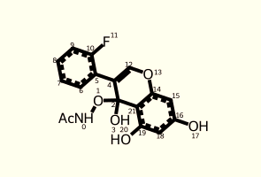 CC(=O)NOC1(O)C(c2ccccc2F)=COc2cc(O)cc(O)c21